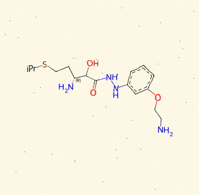 CC(C)SCC[C@@H](N)C(O)C(=O)NNc1cccc(OCCN)c1